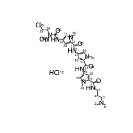 CN(C)CCCNC(=O)c1cc(NC(=O)c2cc(NC(=O)c3cc(NC(=O)N(CCCl)N=O)cn3C)cn2C)cn1C.Cl